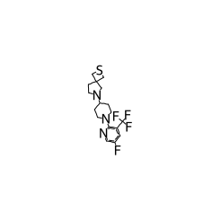 Fc1cnc(N2CCC(N3CCC4(CSC4)C3)CC2)c(C(F)(F)F)c1